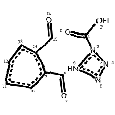 O=C(O)n1nn[nH]1.O=Cc1ccccc1C=O